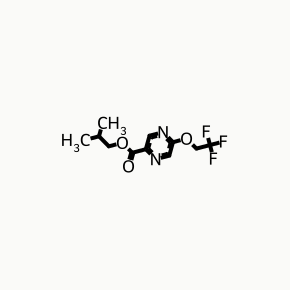 CC(C)COC(=O)c1cnc(OCC(F)(F)F)cn1